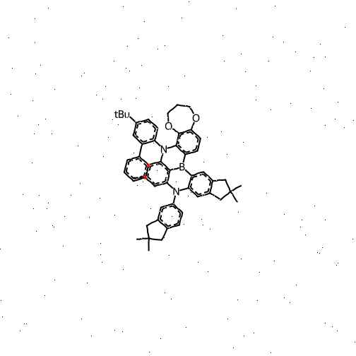 Cc1cc2c3c(c1)N(c1ccc(C(C)(C)C)cc1-c1ccccc1)c1c(ccc4c1OCCCO4)B3c1cc3c(cc1N2c1ccc2c(c1)CC(C)(C)C2)CC(C)(C)C3